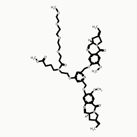 C/C=C1\C[C@H]2C=Nc3cc(OCc4cc(OCCN(CCCC(=O)OC)C(=O)CCOCCOCCOCCOC)cc(COc5cc6c(cc5OC)C(=O)N5C/C(=C/C)C[C@H]5C=N6)n4)c(OC)cc3C(=O)N2C1